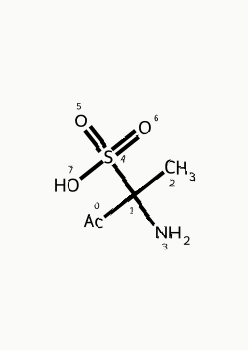 CC(=O)C(C)(N)S(=O)(=O)O